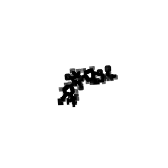 CNC(=O)[C@@H]1CNc2cc(N3C(=S)N(c4ccc(C#N)c(C(F)(F)F)c4)C(=O)C3(C)C)ccc2O1